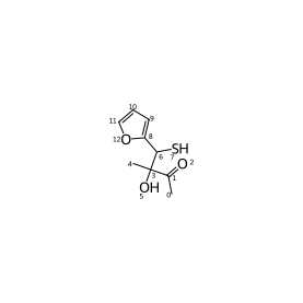 CC(=O)C(C)(O)C(S)c1ccco1